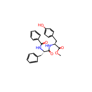 COC(=O)[C@H](Cc1ccc(O)cc1)NC(=O)[C@H](Cc1ccccc1)NC(=O)c1ccccc1